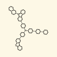 c1ccc(-c2ccc(-c3ccc(N(c4ccc(-c5ccc6sc7ccccc7c6c5)cc4)c4ccc(-c5ccc6c(c5)c5ccccc5n6-c5ccc6ccccc6c5)cc4)cc3)cc2)cc1